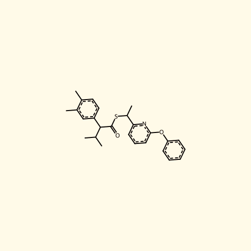 Cc1ccc(C(C(=O)SC(C)c2cccc(Oc3ccccc3)n2)C(C)C)cc1C